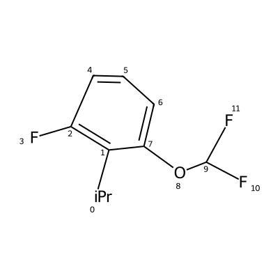 CC(C)c1c(F)cccc1OC(F)F